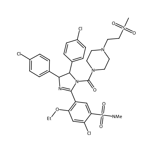 CCOc1cc(Cl)c(S(=O)(=O)NC)cc1C1=NC(c2ccc(Cl)cc2)C(c2ccc(Cl)cc2)N1C(=O)N1CCN(CCS(C)(=O)=O)CC1